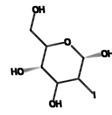 OCC1O[C@H](O)C(I)C(O)[C@@H]1O